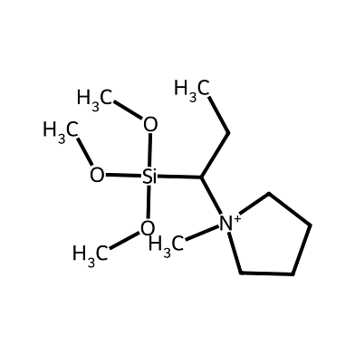 CCC([N+]1(C)CCCC1)[Si](OC)(OC)OC